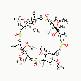 COC1C[C@@H]2C[S+]([O-])C[C@H]3C[C@@H](OC)[C@H](CC3OC)C[S@@+]([O-])C[C@H]3CC(OC)[C@H](CC3OC)C[S@+]([O-])C[C@H]3CC(OC)[C@H](CC3OC)C[S+]([O-])C[C@H]1CC2OC